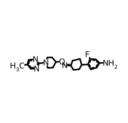 Cc1cnc(N2CCC(ON=C3CCC(c4ccc(N)cc4F)CC3)CC2)nc1